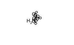 N[C@@H]1O[C@H](COC(=O)c2ccccc2)[C@@H](F)[C@H](OC(=O)c2ccccc2)[C@H]1OC(=O)c1ccccc1